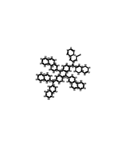 CC/C=C(\C=C1\C=CC=CC1)N(C1=CC2=C(C=CCC2)CC1)c1ccc2c(-c3ccc4c(ccc5ccccc54)c3)c3cc(N(c4ccc5ccccc5c4)c4ccc5ccccc5c4)ccc3c(-c3ccc4c(ccc5ccccc54)c3)c2c1